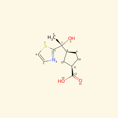 C[C@](O)(c1nccs1)[C@H]1CC[C@@H](C(=O)O)C1